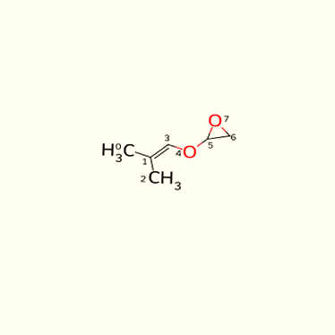 CC(C)=COC1CO1